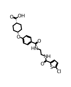 O=C(NCCNC(=O)c1ccc(Cl)s1)c1ccc(O[C@H]2CC[C@@H](C(=O)O)CC2)cc1